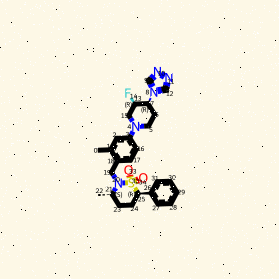 Cc1cc(N2CC[C@@H](n3cnnc3)[C@H](F)C2)ccc1CN1[C@@H](C)CC[C@H](c2ccccc2)S1(=O)=O